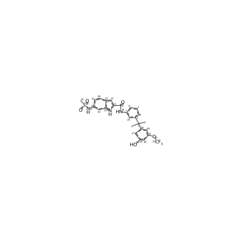 CC(C)(c1cccc(NC(=O)c2cc3ccc(NS(C)(=O)=O)cc3[nH]2)c1)c1cc(O)cc(OC(F)(F)F)c1